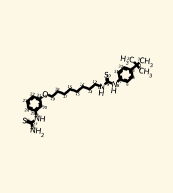 CC(C)(C)c1ccc(NC(=S)NCCCCCCCCOc2cccc(NC(N)=S)c2)cc1